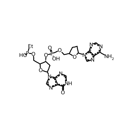 CCP(O)OCC1OC(n2cnc3c(=O)[nH]cnc32)C[C@@H]1OP(=O)(O)OCC1CCC(n2cnc3c(N)ncnc32)O1